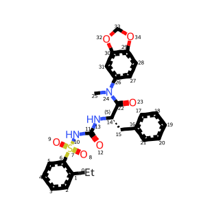 CCc1ccccc1S(=O)(=O)NC(=O)N[C@@H](Cc1ccccc1)C(=O)N(C)c1ccc2c(c1)OCO2